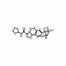 O=C(NC1CCCC1)[C@@H]1CCC2c3ccc(C(F)(C(F)(F)F)C(F)(F)F)cc3CCC21